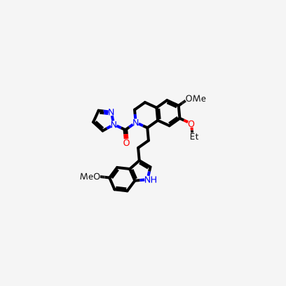 CCOc1cc2c(cc1OC)CCN(C(=O)n1cccn1)C2CCc1c[nH]c2ccc(OC)cc12